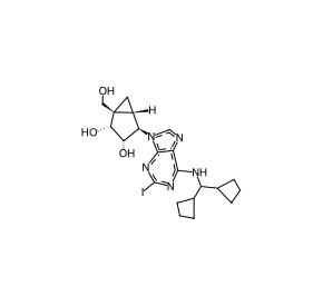 OC[C@@]12C[C@@H]1[C@@H](n1cnc3c(NC(C4CCC4)C4CCC4)nc(I)nc31)[C@H](O)[C@@H]2O